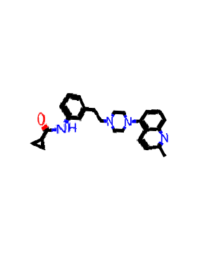 Cc1ccc2c(N3CCN(CCc4cccc(NC(=O)C5CC5)c4)CC3)cccc2n1